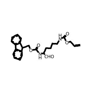 C=CCOC(=O)NCCCCC(C=O)NC(=O)OCC1c2ccccc2-c2ccccc21